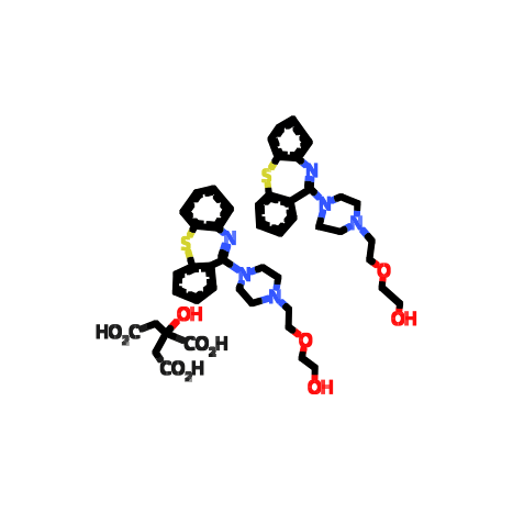 O=C(O)CC(O)(CC(=O)O)C(=O)O.OCCOCCN1CCN(C2=Nc3ccccc3Sc3ccccc32)CC1.OCCOCCN1CCN(C2=Nc3ccccc3Sc3ccccc32)CC1